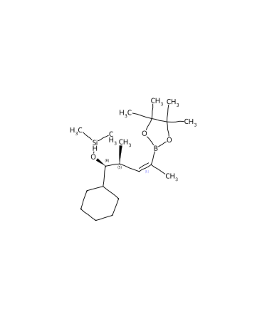 C/C(=C/[C@H](C)[C@H](O[SiH](C)C)C1CCCCC1)B1OC(C)(C)C(C)(C)O1